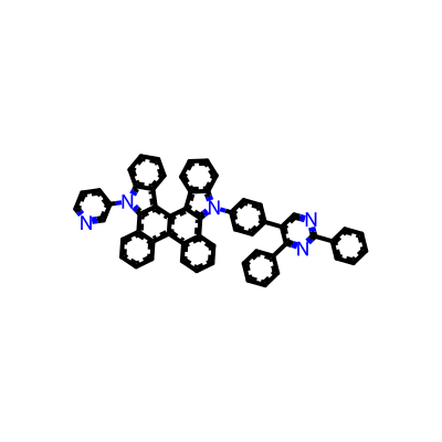 c1ccc(-c2ncc(-c3ccc(-n4c5ccccc5c5c6c(c7ccccc7c54)c4ccccc4c4c6c5ccccc5n4-c4cccnc4)cc3)c(-c3ccccc3)n2)cc1